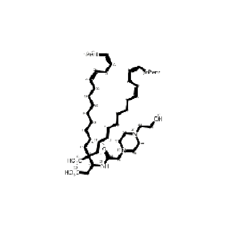 CCCCC/C=C\C/C=C\CCCCCCCCC(CCCCCCCC/C=C\C/C=C\CCCCC)(C(=O)O)C(CC(=O)O)NC(=O)CN1CCN(CCO)CC1